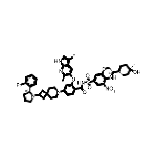 Cc1nc2[nH]cc(F)c2cc1Oc1cc(N2CCC3(CC2)CC(N2CCC[C@H]2c2ccccc2C(C)C)C3)ccc1C(=O)NS(=O)(=O)c1cc2c(c([N+](=O)[O-])c1)N[C@@H]([C@H]1CC[C@](C)(O)CC1)CO2